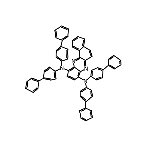 c1ccc(-c2ccc(N(c3ccc(-c4ccccc4)cc3)c3ccc(N(c4ccc(-c5ccccc5)cc4)c4ccc(-c5ccccc5)cc4)c4nc5c(ccc6ccccc65)nc34)cc2)cc1